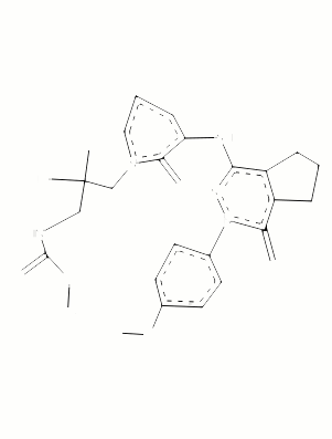 CC(O)(CNC(=O)OC(C)(C)C)Cn1cccc(Nc2nn(-c3ccc(OC(F)(F)F)cc3)c(=O)c3c2CCC3)c1=O